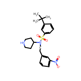 CC(C)(C)c1cccc(S(=O)(=O)N(CCc2cccc([N+](=O)[O-])c2)C2CCNCC2)c1